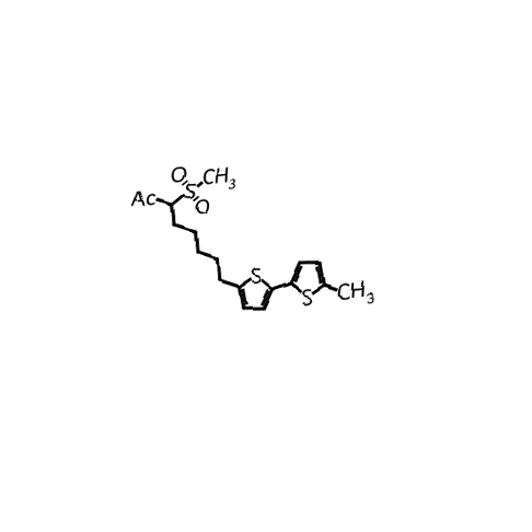 CC(=O)C(CCCCCc1ccc(-c2ccc(C)s2)s1)S(C)(=O)=O